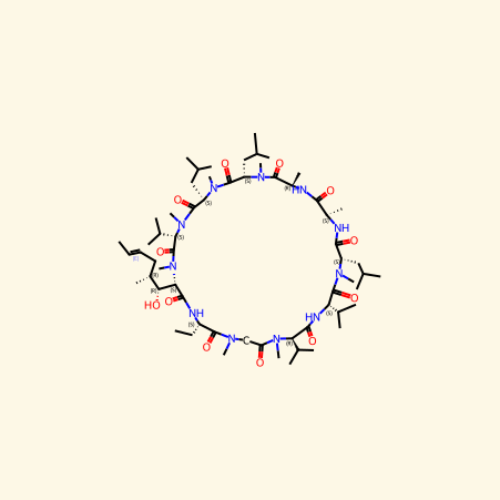 C/C=C/C[C@@H](C)[C@@H](O)[C@H]1C(=O)N[C@@H](CC)C(=O)N(C)CC(=O)N(C)[C@H](C(C)C)C(=O)N[C@@H](C(C)C)C(=O)N(C)[C@@H](CC(C)C)C(=O)N[C@@H](C)C(=O)N[C@H](C)C(=O)N(C)[C@@H](CC(C)C)C(=O)N(C)[C@@H](CC(C)C)C(=O)N(C)[C@@H](C(C)C)C(=O)N1C